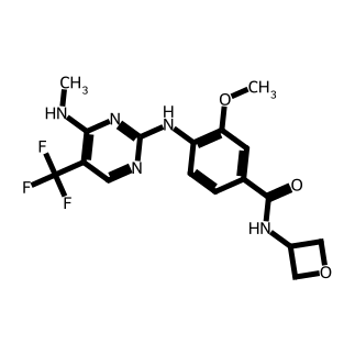 CNc1nc(Nc2ccc(C(=O)NC3COC3)cc2OC)ncc1C(F)(F)F